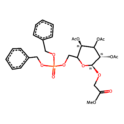 COC(=O)CO[C@H]1OC(COP(=O)(OCc2ccccc2)OCc2ccccc2)[C@@H](OC(C)=O)C(OC(C)=O)[C@@H]1OC(C)=O